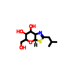 CC(C)CC1=NC2C(O)[C@H](O)C(CO)O[C@@H]2S1